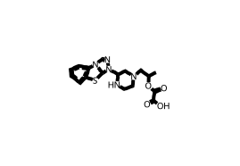 CC(CN1CCNC(N2N=CN3c4ccccc4SC32)C1)OC(=O)C(=O)O